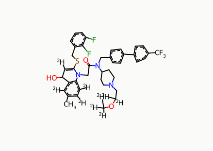 [2H]C1=C(SCc2cccc(F)c2F)N(CC(=O)N(Cc2ccc(-c3ccc(C(F)(F)F)cc3)cc2)C2CCN(CC([2H])([2H])OC([2H])([2H])[2H])CC2)c2c([2H])c([2H])c(C)c([2H])c2C1O